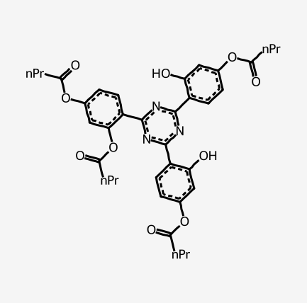 CCCC(=O)Oc1ccc(-c2nc(-c3ccc(OC(=O)CCC)cc3O)nc(-c3ccc(OC(=O)CCC)cc3OC(=O)CCC)n2)c(O)c1